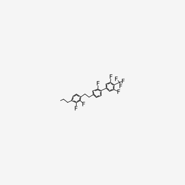 CCCc1ccc(CCc2ccc(-c3cc(F)c(C(F)(F)F)c(F)c3)c(F)c2)c(F)c1F